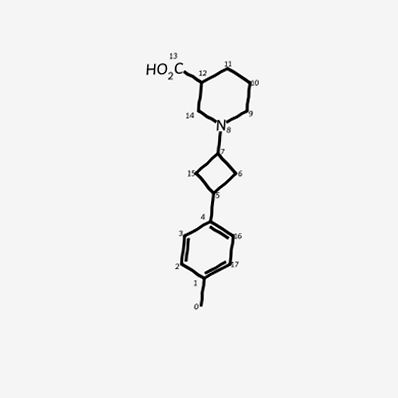 Cc1ccc(C2CC(N3CCCC(C(=O)O)C3)C2)cc1